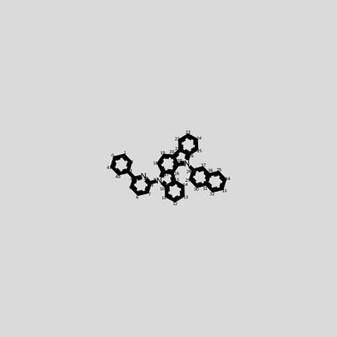 c1ccc(-c2cccc(-n3c4ccccc4c4c3ccc3c5ccccc5n(-c5ccc6ccccc6c5)c34)n2)cc1